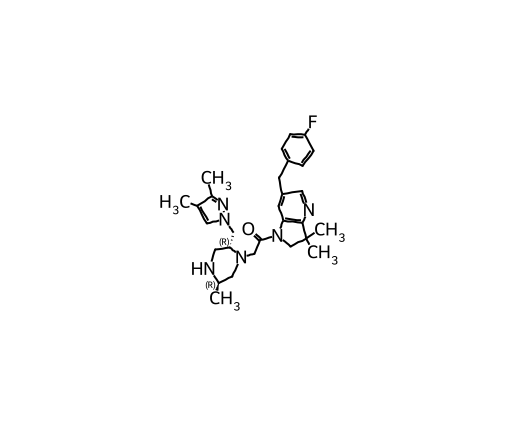 Cc1cn(C[C@H]2CN[C@H](C)CN2CC(=O)N2CC(C)(C)c3ncc(Cc4ccc(F)cc4)cc32)nc1C